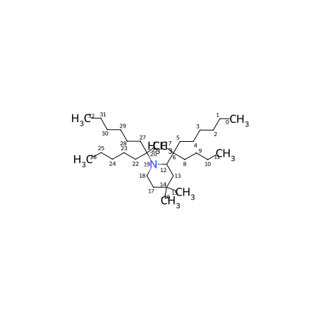 CCCCCCC(C)(CCCC)C1CC(C)(C)CCN1C(C)(CCCCC)CCCCCC